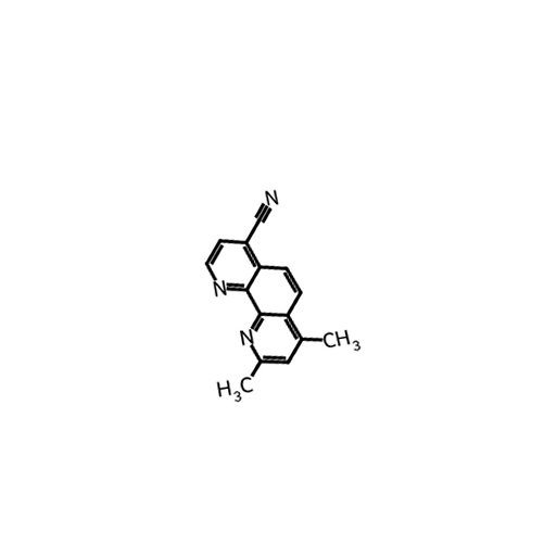 Cc1cc(C)c2ccc3c(C#N)ccnc3c2n1